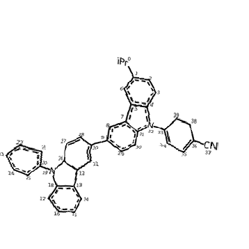 CC(C)c1ccc2c(c1)c1cc(C3=CC4c5ccccc5N(c5ccccc5)C4C=C3)ccc1n2C1=CC=C(C#N)CC1